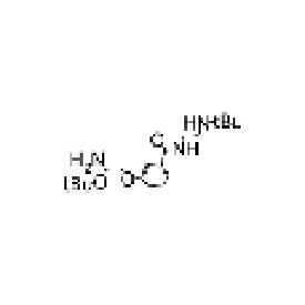 CC(C)(C)NCCNC(=O)c1cccc(OCC(N)OC(C)(C)C)c1